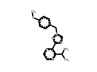 COc1ccc(Cn2cnc(-c3nccnc3C(C)N)n2)cc1